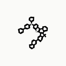 CC1(C)c2ccc(-c3ccc4ccccc4c3)cc2-c2c1c1ccccc1c1c2oc2cc(N(c3ccccc3)c3ccc(-c4ccccc4)cc3)ccc21